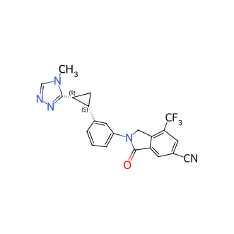 Cn1cnnc1[C@@H]1C[C@@H]1c1cccc(N2Cc3c(cc(C#N)cc3C(F)(F)F)C2=O)c1